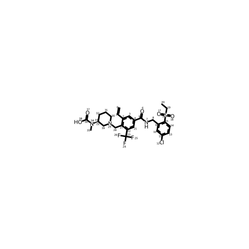 C=Cc1cc(C(=O)NCc2cc(Cl)ccc2S(=O)(=O)CC)cc(C(F)(F)F)c1CN1CCC[C@H](N(C)C(=O)O)C1